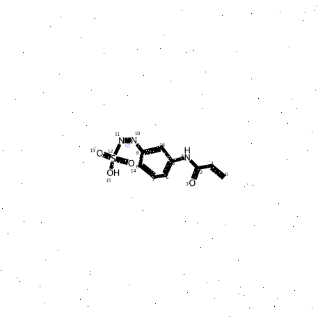 C=CC(=O)Nc1cccc(/N=N\S(=O)(=O)O)c1